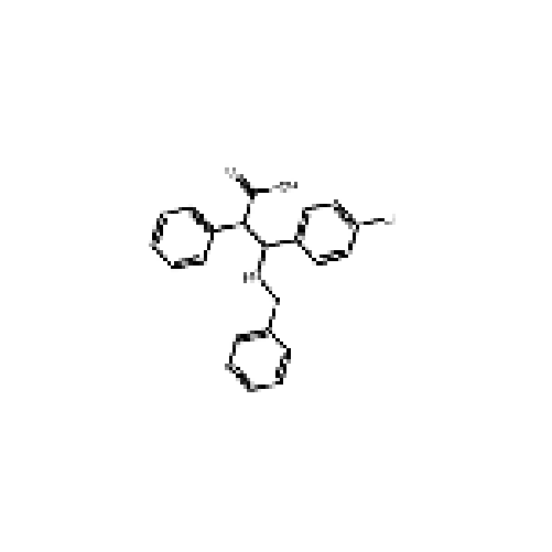 O=C(O)C(c1ccccc1)C(NCc1ccccc1)c1ccc(Cl)cc1